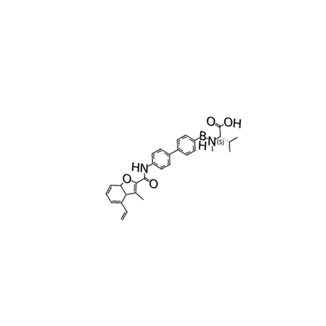 C=CC1=CC=CC2OC(C(=O)Nc3ccc(-c4ccc(BN(C)[C@H](C(=O)O)C(C)C)cc4)cc3)=C(C)C12